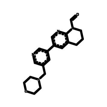 O=CN1CCCc2cc(-c3cncc(CN4CCOCC4)c3)cnc21